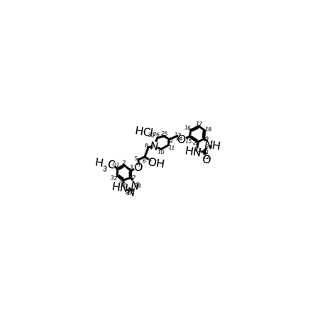 Cc1cc(OCC(O)CN2CCC(COc3cccc4[nH]c(=O)[nH]c34)CC2)c2nn[nH]c2c1.Cl